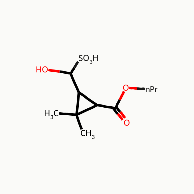 CCCOC(=O)C1C(C(O)S(=O)(=O)O)C1(C)C